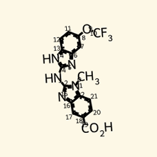 Cn1c(Nc2nc3cc(OC(F)(F)F)ccc3[nH]2)nc2cc(C(=O)O)ccc21